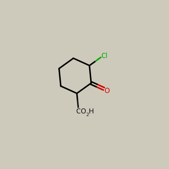 O=C(O)C1CCCC(Cl)C1=O